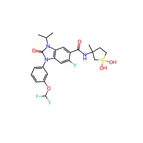 CC(C)n1c(=O)n(-c2cccc(OC(F)F)c2)c2cc(F)c(C(=O)NC3(C)CCS(O)(O)C3)cc21